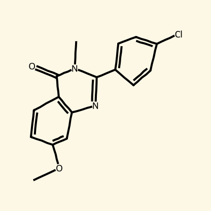 COc1ccc2c(=O)n(C)c(-c3ccc(Cl)cc3)nc2c1